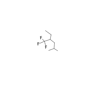 CCC(CC(C)C)C(F)(F)F